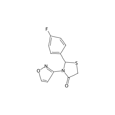 O=C1CSC(c2ccc(F)cc2)N1c1ccon1